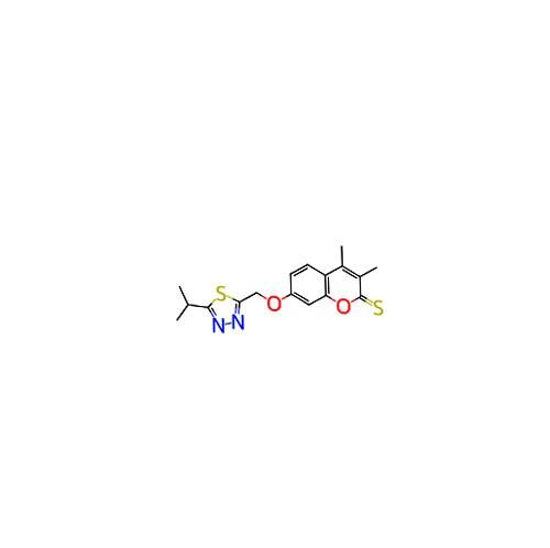 Cc1c(C)c2ccc(OCc3nnc(C(C)C)s3)cc2oc1=S